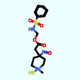 C[N+]1(S)CCC(CC(=O)OCNS(=O)(=O)c2ccccc2)(N=O)CC1